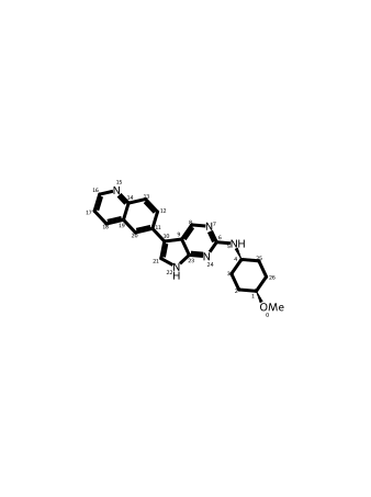 CO[C@H]1CC[C@@H](Nc2ncc3c(-c4ccc5ncccc5c4)c[nH]c3n2)CC1